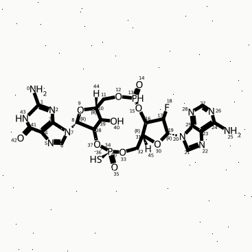 Nc1nc2c(ncn2[C@@H]2O[C@@H]3CO[PH](=O)OC4C(F)[C@H](n5cnc6c(N)ncnc65)O[C@@H]4CO[P@@](=O)(S)OC2C3O)c(=O)[nH]1